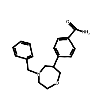 NC(=O)c1ccc(C2COCCN(Cc3ccccc3)C2)cc1